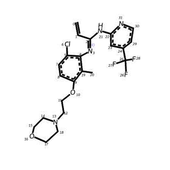 C=C/C(=N\c1c(Cl)ccc(OCCN2CCOCC2)c1C)Nc1cc(C(F)(F)F)ccn1